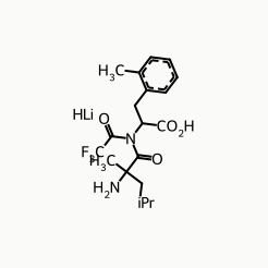 Cc1ccccc1CC(C(=O)O)N(C(=O)C(F)(F)F)C(=O)C(C)(N)CC(C)C.[LiH]